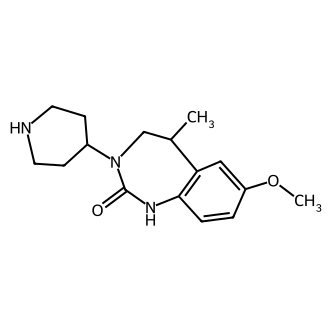 COc1ccc2c(c1)C(C)CN(C1CCNCC1)C(=O)N2